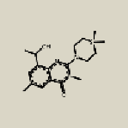 Cc1cc(C(C)O)c2nc(N3CC[Si](C)(C)CC3)n(C)c(=O)c2c1